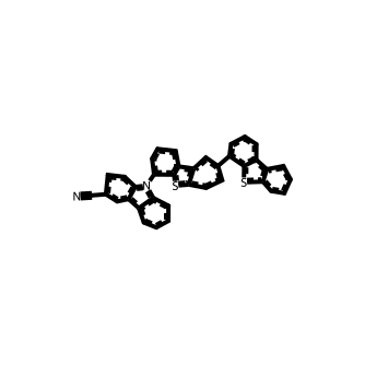 N#Cc1ccc2c(c1)c1ccccc1n2-c1cccc2c1sc1ccc(-c3cccc4c3sc3ccccc34)cc12